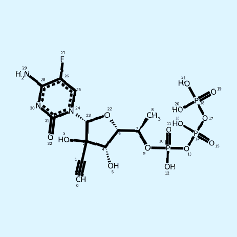 C#CC1(O)[C@@H](O)[C@@H]([C@@H](C)OP(=O)(O)OP(=O)(O)OP(=O)(O)O)O[C@H]1n1cc(F)c(N)nc1=O